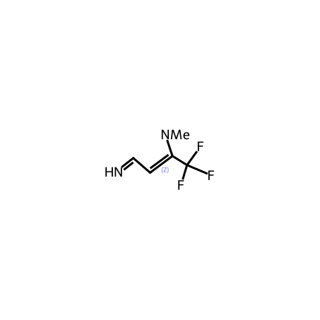 CN/C(=C\C=N)C(F)(F)F